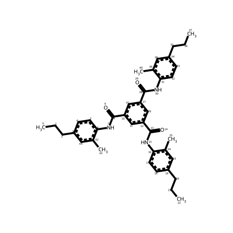 CCCc1ccc(NC(=O)c2cc(C(=O)Nc3ccc(CCC)cc3C)cc(C(=O)Nc3ccc(CCC)cc3C)c2)c(C)c1